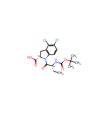 CC[C@@H](NC(=O)OC(C)(C)C)C(=O)N1c2ccc(Cl)c(Cl)c2C[C@H]1C(=O)O